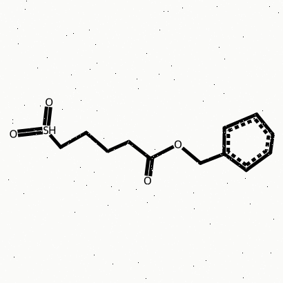 O=C(CCCC[SH](=O)=O)OCc1ccccc1